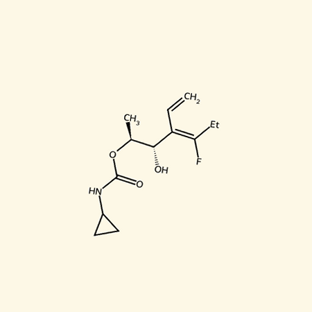 C=C/C(=C(/F)CC)[C@H](O)[C@H](C)OC(=O)NC1CC1